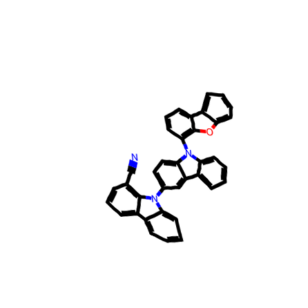 N#Cc1cccc2c3ccccc3n(-c3ccc4c(c3)c3ccccc3n4-c3cccc4c3oc3ccccc34)c12